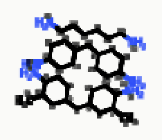 CC1CC(CC2CCC(N)C(C)C2)CCC1N.NC1CCC(CC2CCC(N)CC2)CC1.NCCCCCCN